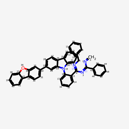 C=N/C(=N\C(=N/Cc1ccccc1)c1ccccc1-n1c2ccccc2c2ccc(-c3ccc4c(c3)oc3ccccc34)cc21)c1ccccc1